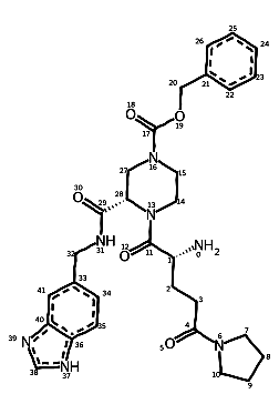 N[C@H](CCC(=O)N1CCCC1)C(=O)N1CCN(C(=O)OCc2ccccc2)C[C@H]1C(=O)NCc1ccc2[nH]cnc2c1